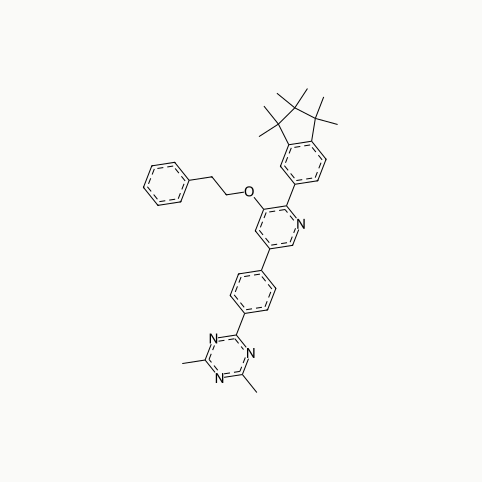 Cc1nc(C)nc(-c2ccc(-c3cnc(-c4ccc5c(c4)C(C)(C)C(C)(C)C5(C)C)c(OCCc4ccccc4)c3)cc2)n1